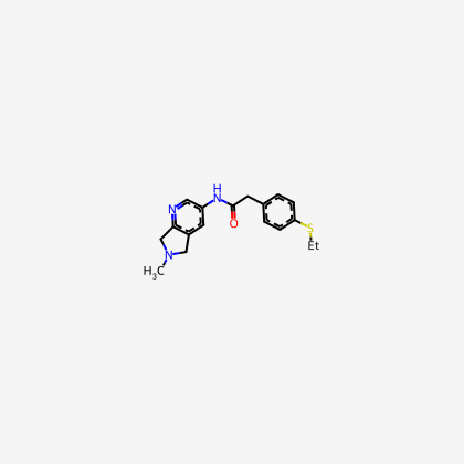 CCSc1ccc(CC(=O)Nc2cnc3c(c2)CN(C)C3)cc1